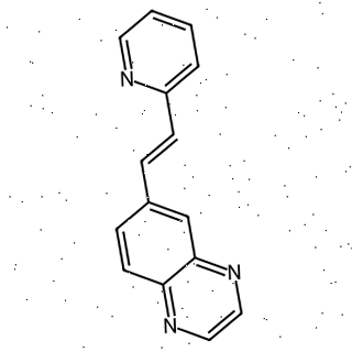 C(=Cc1ccccn1)c1ccc2nccnc2c1